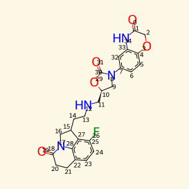 O=C1COc2ccc(N3C[C@@H](CNCCC4CN5C(=O)CCc6ccc(F)c4c65)OC3=O)cc2N1